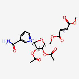 COC(=O)/C=C/C(=O)OC[C@H]1O[C@@H]([n+]2cccc(C(N)=O)c2)[C@H](OC(C)=O)[C@@H]1OC(C)=O